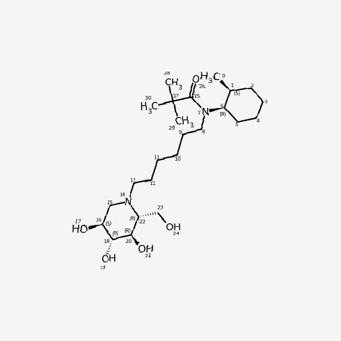 C[C@H]1CCCC[C@H]1N(CCCCCCN1C[C@H](O)[C@@H](O)[C@H](O)[C@H]1CO)C(=O)C(C)(C)C